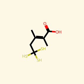 CC(CC(S)(S)S)=C(C)C(=O)O